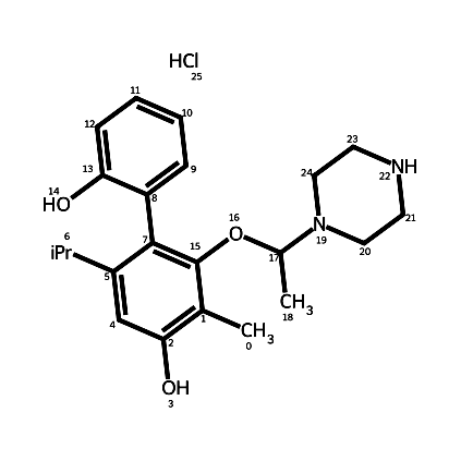 Cc1c(O)cc(C(C)C)c(-c2ccccc2O)c1OC(C)N1CCNCC1.Cl